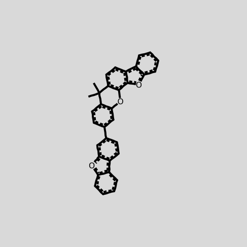 CC1(C)c2ccc(-c3ccc4c(c3)oc3ccccc34)cc2Oc2c1ccc1c2oc2ccccc21